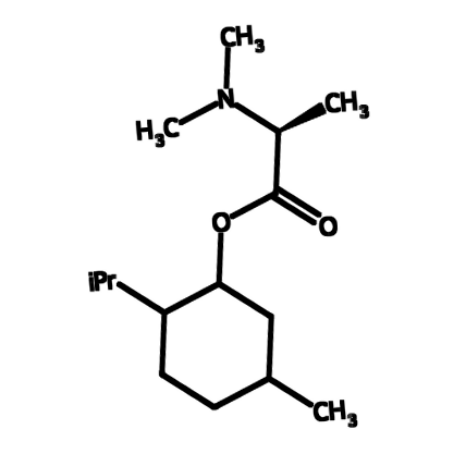 CC1CCC(C(C)C)C(OC(=O)[C@H](C)N(C)C)C1